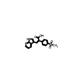 CS(=O)(=O)c1ccc(C(=Cc2c[nH]c3ncccc23)C(=O)O)cc1